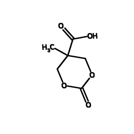 CC1(C(=O)O)COC(=O)OC1